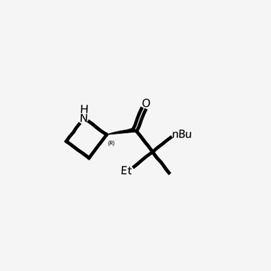 CCCCC(C)(CC)C(=O)[C@H]1CCN1